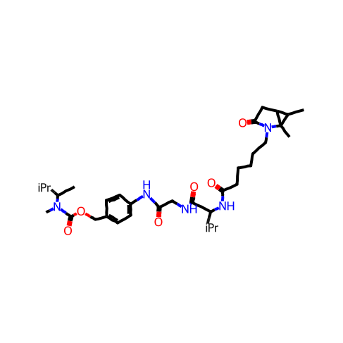 CC(C)C(NC(=O)CCCCCN1C(=O)CC2C(C)C21C)C(=O)NCC(=O)Nc1ccc(COC(=O)N(C)C(C)C(C)C)cc1